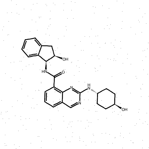 O=C(N[C@H]1c2ccccc2C[C@H]1O)c1cccc2cnc(N[C@H]3CC[C@H](O)CC3)nc12